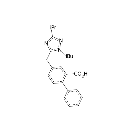 CCC(C)n1nc(C(C)C)nc1Cc1ccc(-c2ccccc2)c(C(=O)O)c1